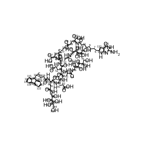 Nc1nc2[nH]c(CCCCCCCC(=O)N[C@@H](CCC(=O)OCCSSCC(NC(=O)[C@H](CCC(=O)NC[C@H](O)[C@@H](O)[C@H](O)[C@H](O)CO)NC(=O)[C@H](CCC(=O)O)NC(=O)[C@H](CCC(=O)NC[C@H](O)[C@@H](O)[C@H](O)[C@H](O)CO)NC(=O)[C@H](CCC(=O)O)NC(=O)[C@H](CCC(=O)NC[C@H](O)[C@@H](O)[C@H](O)[C@H](O)CO)NC(=O)CCSCC3c4ccccc4-c4ccccc43)C(=O)O)C(=O)O)cc2c(=O)[nH]1